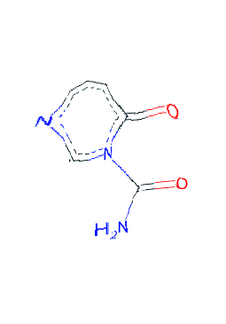 NC(=O)n1[c]nccc1=O